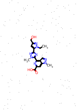 CCn1nc(CO)cc1-c1nc(-c2nc(C(=O)O)cc3c2cnn3C)n(C)n1